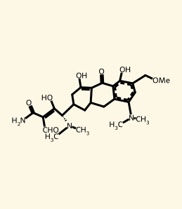 COCc1cc(N(C)C)c2c(c1O)C(=O)C1=C(O)CC([C@@H](/C(O)=C(\C=O)C(N)=O)N(C)C)CC1C2